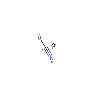 N#[C][U].[Zr]